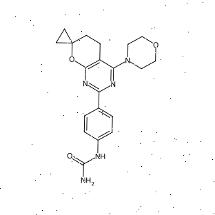 NC(=O)Nc1ccc(-c2nc3c(c(N4CCOCC4)n2)CCC2(CC2)O3)cc1